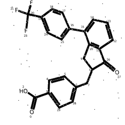 O=C(O)c1ccc(CC2Cc3c(cccc3-c3ccc(C(F)(F)F)cc3)C2=O)cc1